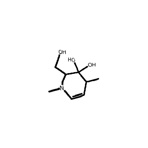 CC1C=CN(C)C(CO)C1(O)O